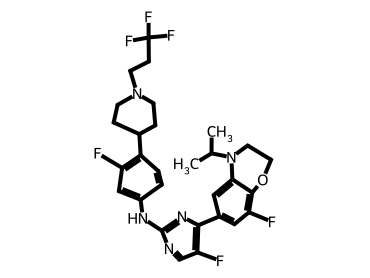 CC(C)N1CCOc2c(F)cc(-c3nc(Nc4ccc(C5CCN(CCC(F)(F)F)CC5)c(F)c4)ncc3F)cc21